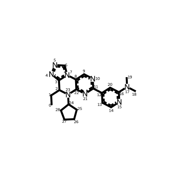 CCC1c2nncn2-c2cnc(-c3ccnc(N(C)C)c3)nc2N1C1CCCC1